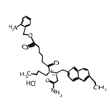 CCCCN(C(=O)CCCCC(=O)OCc1ccccc1N)[C@H](CC(N)=O)Cc1ccc2cc(CC)ccc2c1.Cl